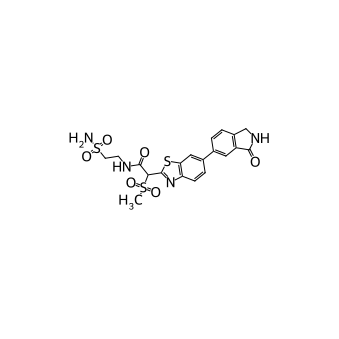 CS(=O)(=O)C(C(=O)NCCS(N)(=O)=O)c1nc2ccc(-c3ccc4c(c3)C(=O)NC4)cc2s1